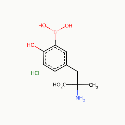 CC(N)(Cc1ccc(O)c(B(O)O)c1)C(=O)O.Cl